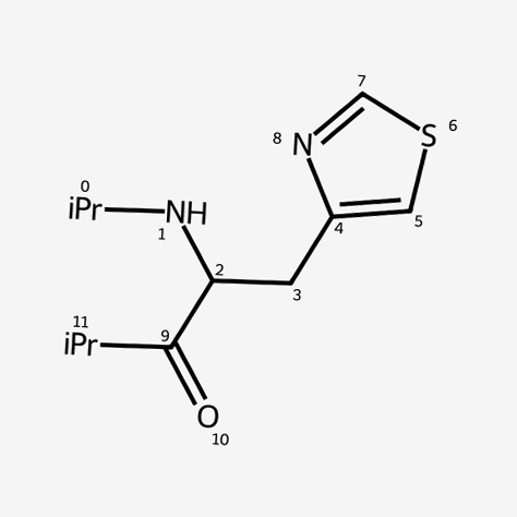 CC(C)NC(Cc1cscn1)C(=O)C(C)C